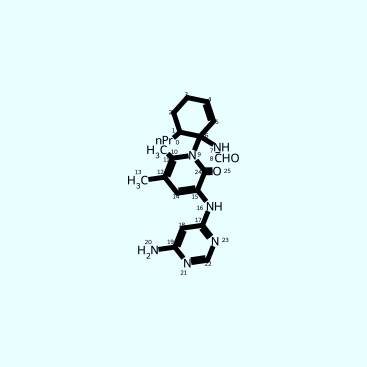 CCCC1CCC=CC1(NC=O)n1c(C)c(C)cc(Nc2cc(N)ncn2)c1=O